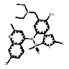 CCN(CC)Cc1cc(N(c2cc(C)nc3cc(Cl)ccc23)[SH](C)(=O)c2ccc(Cl)s2)ccc1O